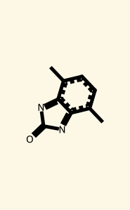 Cc1ccc(C)c2c1=NC(=O)N=2